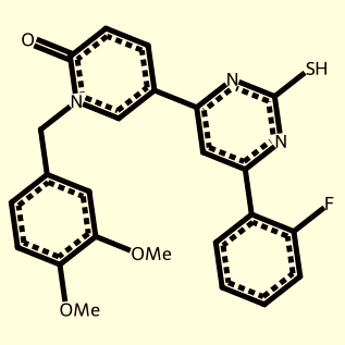 COc1ccc(Cn2cc(-c3cc(-c4ccccc4F)nc(S)n3)ccc2=O)cc1OC